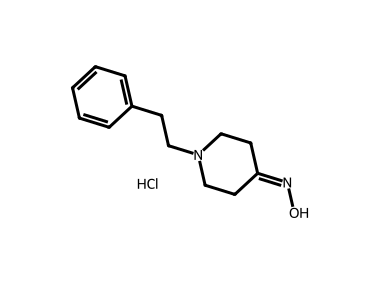 Cl.ON=C1CCN(CCc2ccccc2)CC1